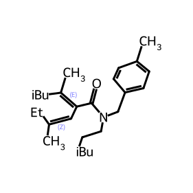 CC/C(C)=C\C(C(=O)N(CCC(C)CC)Cc1ccc(C)cc1)=C(\C)C(C)CC